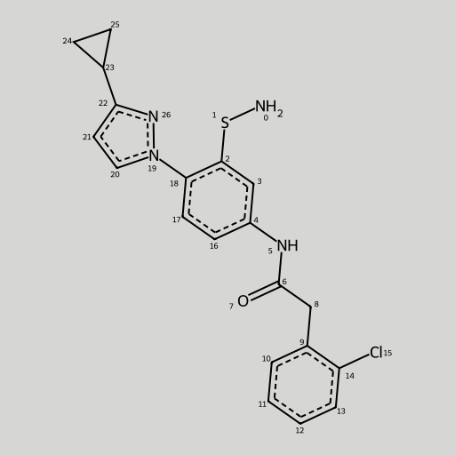 NSc1cc(NC(=O)Cc2ccccc2Cl)ccc1-n1ccc(C2CC2)n1